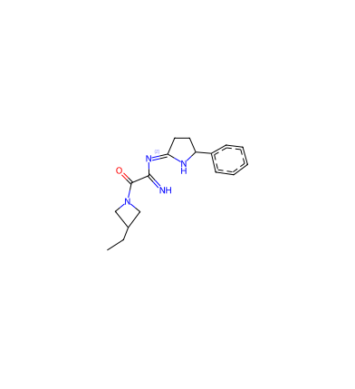 CCC1CN(C(=O)C(=N)/N=C2/CCC(c3ccccc3)N2)C1